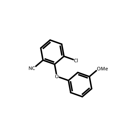 COc1cccc(Oc2c(Cl)cccc2C#N)c1